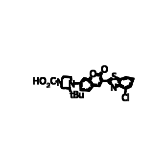 CC(C)(C)C1CN(C(=O)O)CCN1c1ccc2cc(-c3nc4c(Cl)cccc4s3)c(=O)oc2c1